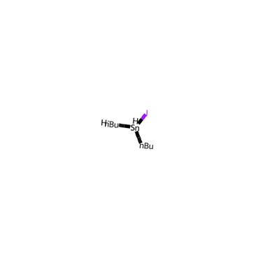 CCC[CH2][SnH]([I])[CH2]CCC.[H-]